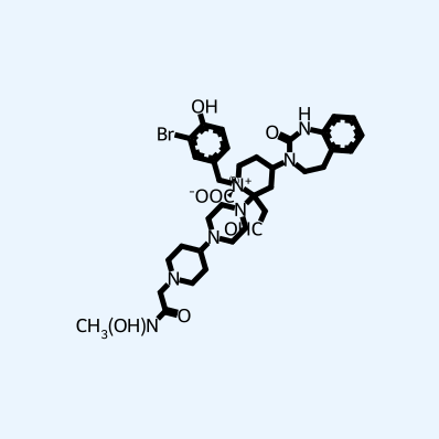 CN(O)C(=O)CN1CCC(N2CCN(C3(CC=O)CC(N4CCc5ccccc5NC4=O)CC[N@+]3(Cc3ccc(O)c(Br)c3)C(=O)[O-])CC2)CC1